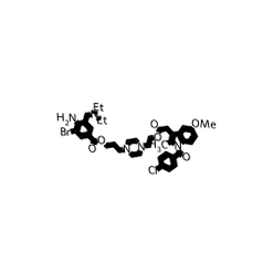 CCN(CC)Cc1cc(C(=O)OCCCN2CCN(CCOC(=O)Cc3c(C)n(C(=O)c4ccc(Cl)cc4)c4ccc(OC)cc34)CC2)cc(Br)c1N